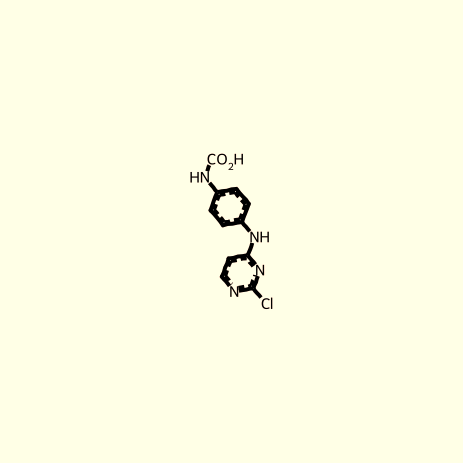 O=C(O)Nc1ccc(Nc2ccnc(Cl)n2)cc1